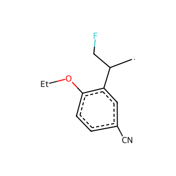 [CH2]C(CF)c1cc(C#N)ccc1OCC